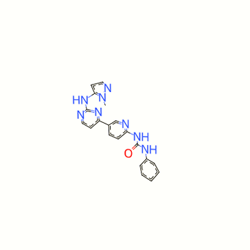 Cn1nccc1Nc1nccc(-c2ccc(NC(=O)Nc3ccccc3)nc2)n1